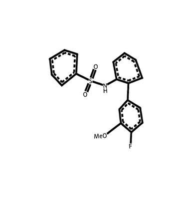 COc1cc(-c2ccccc2NS(=O)(=O)c2ccccc2)ccc1F